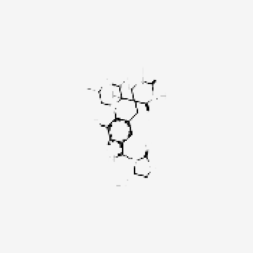 CC[C@H]1COC(=O)N1c1noc2c(F)c3c(cc12)CC1(C(=O)NC(=O)NC1O)[C@H]1[C@H](C)O[C@H](C)CN31